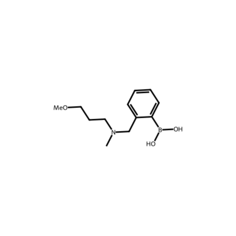 COCCCN(C)Cc1ccccc1B(O)O